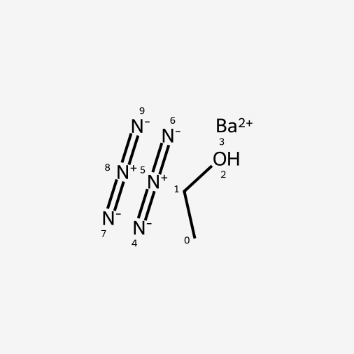 CCO.[Ba+2].[N-]=[N+]=[N-].[N-]=[N+]=[N-]